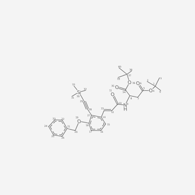 CC(C)(C)OC(=O)CC(NC(=O)/C=C/c1cccc(OCc2ccccc2)c1C#C[Si](C)(C)C)C(=O)OC(C)(C)C